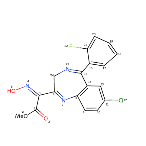 COC(=O)/C(=N\O)C1=Nc2ccc(Cl)cc2C(c2ccccc2F)=NC1